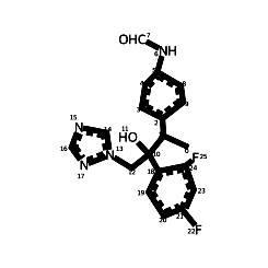 CC(c1ccc(NC=O)cc1)C(O)(Cn1cncn1)c1ccc(F)cc1F